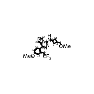 COCC1CC(Nc2nnc(-c3ccc(OC)cc3CC(F)(F)F)c3cncn23)C1